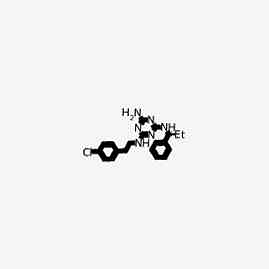 CC[C@H](Nc1nc(N)nc(NCCc2ccc(Cl)cc2)n1)c1ccccc1